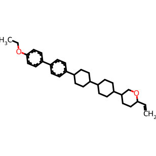 C=CC1CCC(C2CCC(C3CCC(c4ccc(-c5ccc(OCC)cc5)cc4)CC3)CC2)CO1